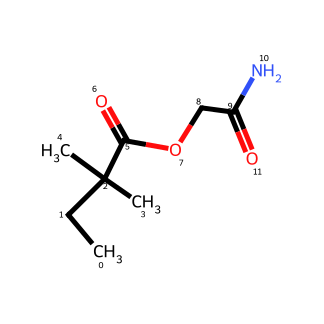 CCC(C)(C)C(=O)OCC(N)=O